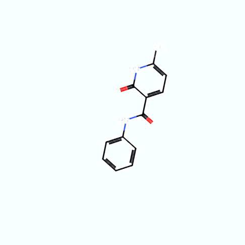 O=C(Nc1ccccc1)c1ccc(C(F)(F)F)[nH]c1=O